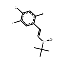 CC(C)(C)[S@+]([O-])/N=C/c1cc(F)c(Cl)cc1F